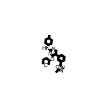 Cc1nnc(-c2cccc(-c3cnc(NC4CCC(C)CC4)nc3OC3CCCOC3)c2)o1